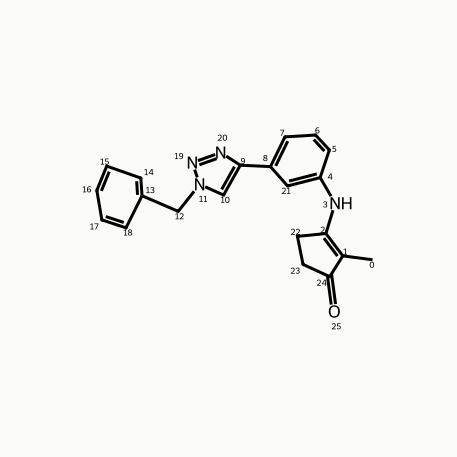 CC1=C(Nc2cccc(-c3cn(Cc4ccccc4)nn3)c2)CCC1=O